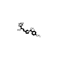 [CH2]c1ccc(C(C)n2ccc(C=CC(O)c3nn[nH]n3)c2)cc1